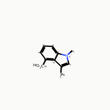 CC(C)c1cn(C)c2cccc(C(=O)O)c12